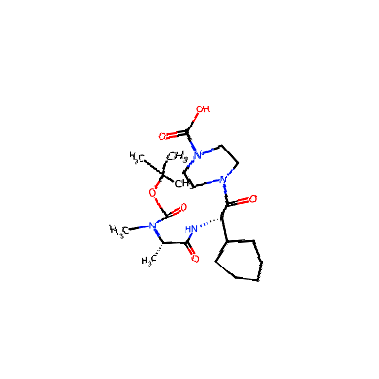 C[C@@H](C(=O)N[C@H](C(=O)N1CCN(C(=O)O)CC1)C1CCCCC1)N(C)C(=O)OC(C)(C)C